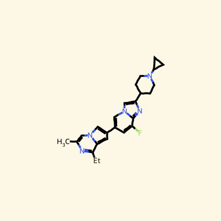 CCc1nc(C)cn2cc(-c3cc(F)c4nc(C5CCN(C6CC6)CC5)cn4c3)cc12